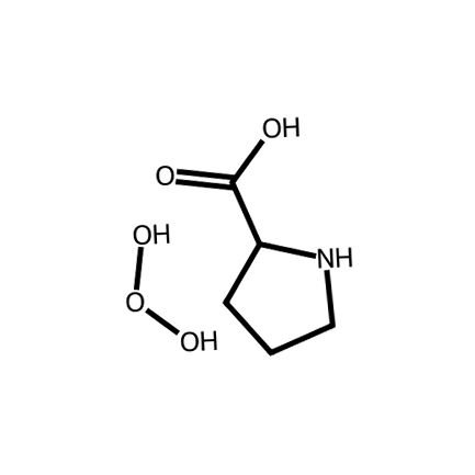 O=C(O)C1CCCN1.OOO